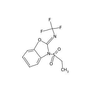 CCS(=O)(=O)n1c(=NC(F)(F)F)oc2ccccc21